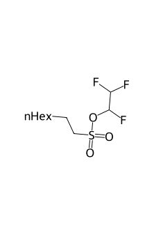 CCCCCCCCS(=O)(=O)OC(F)C(F)F